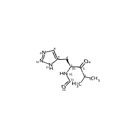 CC(C)C(=O)[C@H](Cc1cnn[nH]1)NC=O